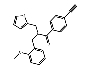 C#Cc1ccc(C(=O)N(Cc2cccs2)Cc2ccccc2OC)cc1